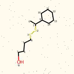 CC(SSCCCCO)C1CCCCC1